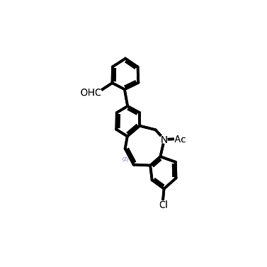 CC(=O)N1Cc2cc(-c3ccccc3C=O)ccc2/C=C\c2cc(Cl)ccc21